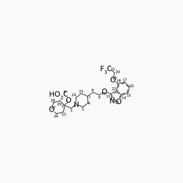 O=C(O)OC1(CN2CCC(CCOc3noc4cccc(OCC(F)(F)F)c34)CC2)CCOCC1